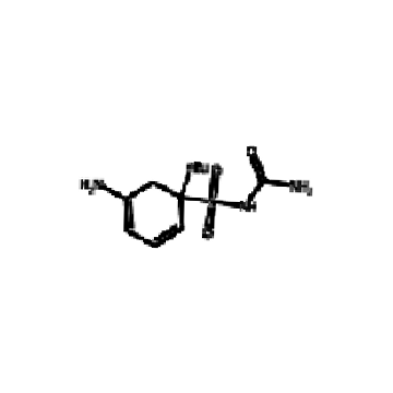 CCCCC1(S(=O)(=O)NC(N)=O)C=CC=C(N)C1